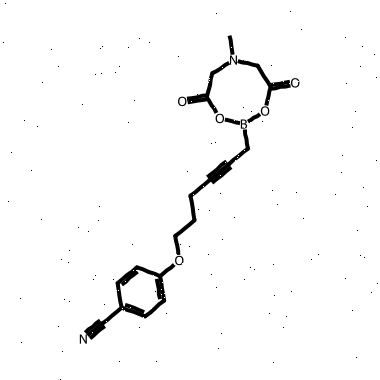 CN1CC(=O)OB(CC#CCCCOc2ccc(C#N)cc2)OC(=O)C1